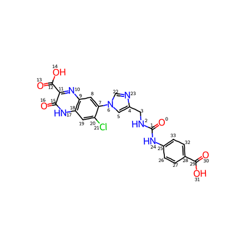 O=C(NCc1cn(-c2cc3nc(C(=O)O)c(=O)[nH]c3cc2Cl)cn1)Nc1ccc(C(=O)O)cc1